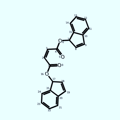 O=C(/C=C\C(=O)OC1C=Cc2ccccc21)OC1C=Cc2ccccc21